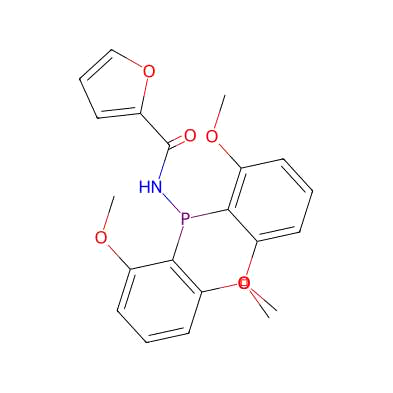 COc1cccc(OC)c1P(NC(=O)c1ccco1)c1c(OC)cccc1OC